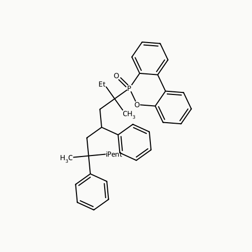 CCCC(C)C(C)(CC(CC(C)(CC)P1(=O)Oc2ccccc2-c2ccccc21)c1ccccc1)c1ccccc1